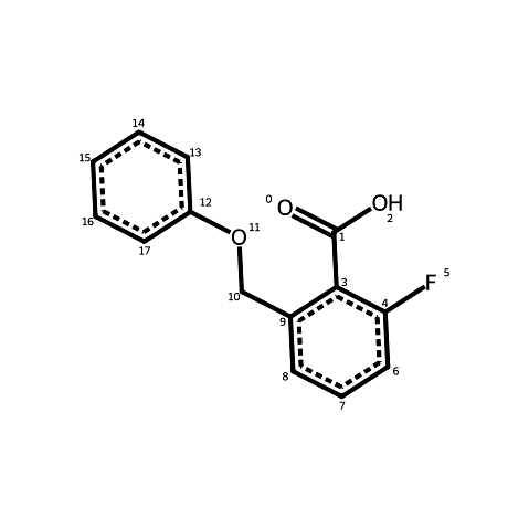 O=C(O)c1c(F)cccc1COc1ccccc1